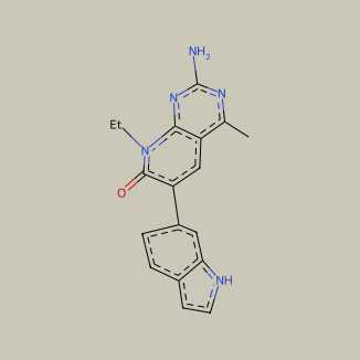 CCn1c(=O)c(-c2ccc3cc[nH]c3c2)cc2c(C)nc(N)nc21